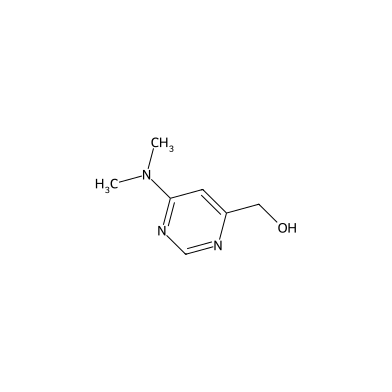 CN(C)c1cc(CO)ncn1